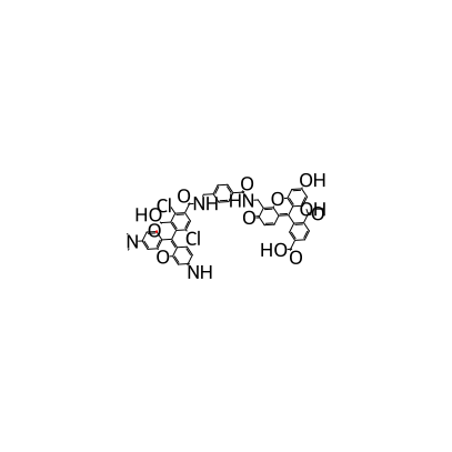 CN(C)c1ccc2c(-c3c(Cl)cc(C(=O)NCc4ccc(C(=O)NCc5c6oc7cc(O)ccc7c(-c7cc(C(=O)O)ccc7C(=O)O)c-6ccc5=O)cc4)c(Cl)c3C(=O)O)c3ccc(=N)cc-3oc2c1